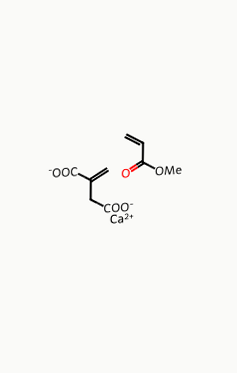 C=C(CC(=O)[O-])C(=O)[O-].C=CC(=O)OC.[Ca+2]